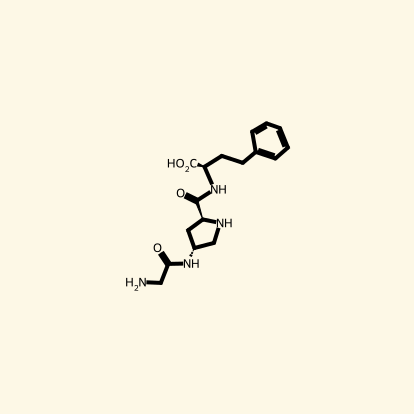 NCC(=O)N[C@H]1CN[C@H](C(=O)N[C@H](CCc2ccccc2)C(=O)O)C1